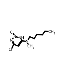 CCCCCCN(C)C1=CC(Cl)=NN(Cl)N1